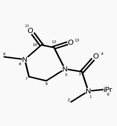 CC(C)N(C)C(=O)N1CCN(C)C(=O)C1=O